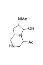 CNC1CC2CNCC(C(C)=O)N2C1O